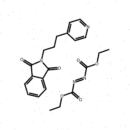 CCOC(=O)/N=N/C(=O)OCC.O=C1c2ccccc2C(=O)N1CCCc1ccncc1